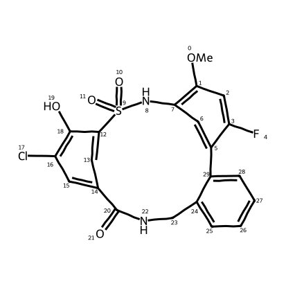 COc1cc(F)c2cc1NS(=O)(=O)c1cc(cc(Cl)c1O)C(=O)NCc1ccccc1-2